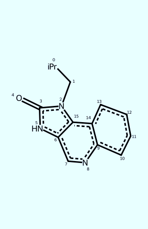 CC(C)Cn1c(=O)[nH]c2cnc3ccccc3c21